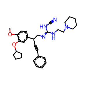 COc1ccc(C(C#Cc2ccccc2)CN=C(NC#N)NCCN2CCCCC2)cc1OC1CCCC1